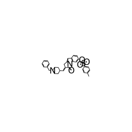 Cc1ccc(S(=O)(=O)Oc2ccc3cc4n(c3c2)C(=O)C(=CC2CCN(Cc3ccccc3)CC2)C4)cc1